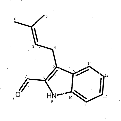 CC(C)=CCc1c(C=O)[nH]c2ccccc12